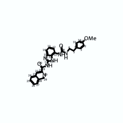 COc1ccc(CCNC(=O)Nc2cccc3nc(NC(=O)c4cc5ccccc5cn4)[nH]c23)cc1